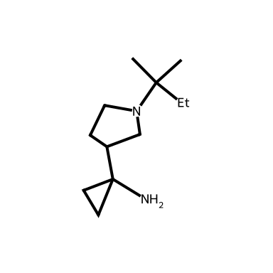 CCC(C)(C)N1CCC(C2(N)CC2)C1